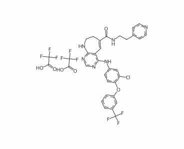 O=C(NCCc1ccncc1)C1=Cc2c(ncnc2Nc2ccc(Oc3cccc(C(F)(F)F)c3)c(Cl)c2)NCC1.O=C(O)C(F)(F)F.O=C(O)C(F)(F)F